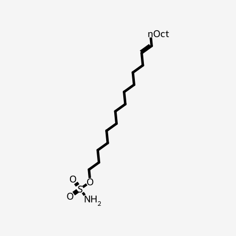 CCCCCCCCC=CCCCCCCCCCCCCOS(N)(=O)=O